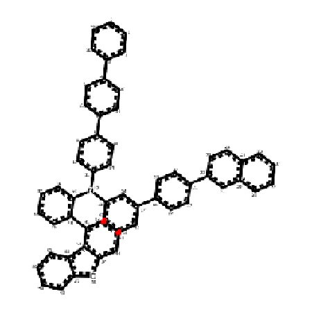 c1ccc(-c2ccc(-c3ccc(N(c4cccc(-c5ccc(-c6ccc7ccccc7c6)cc5)c4)c4ccccc4-c4cccc5oc6ccccc6c45)cc3)cc2)cc1